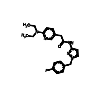 CCN(CC)c1ccc(CC(=O)Nc2ccn(Cc3ccc(F)cc3)n2)cn1